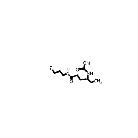 CCC(CCC(=O)NCCCF)NC(=O)O